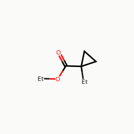 CCOC(=O)C1(CC)CC1